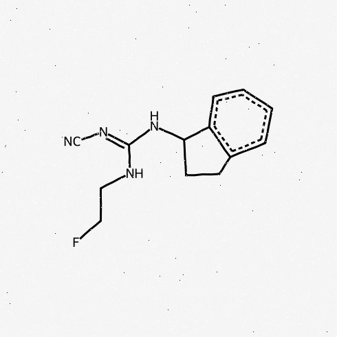 N#CN=C(NCCF)NC1CCc2ccccc21